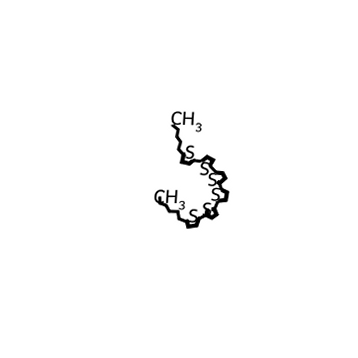 CCCCCCc1ccc(-c2ccc(-c3ccc(-c4ccc(-c5ccc(-c6ccc(CCCCCC)s6)s5)s4)s3)s2)s1